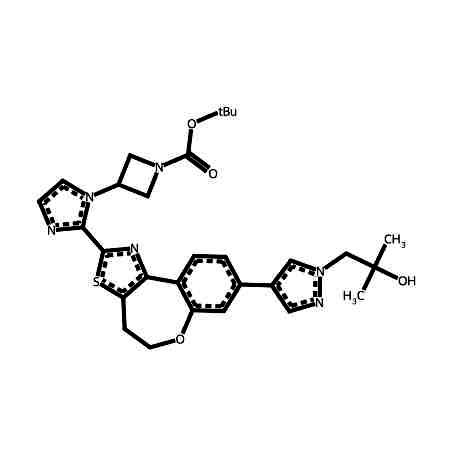 CC(C)(O)Cn1cc(-c2ccc3c(c2)OCCc2sc(-c4nccn4C4CN(C(=O)OC(C)(C)C)C4)nc2-3)cn1